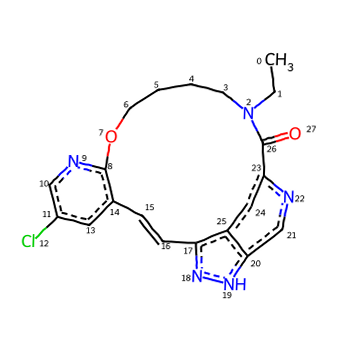 CCN1CCCCOc2ncc(Cl)cc2/C=C/c2n[nH]c3cnc(cc23)C1=O